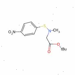 CN(CC(=O)OC(C)(C)C)Sc1ccc([N+](=O)[O-])cc1